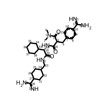 CN(C)C(=O)C(Cc1ccc(C(=N)N)cc1)C(=O)N[C@H](C(=O)NCC1CCC(C(=N)N)CC1)C1CCCCC1